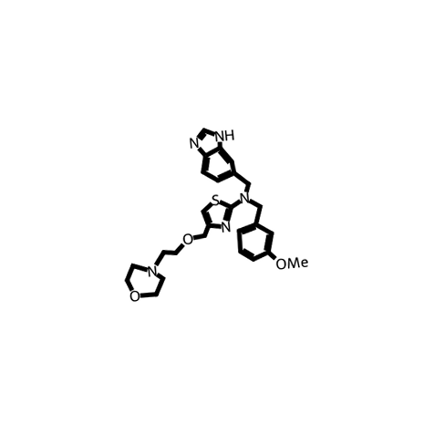 COc1cccc(CN(Cc2ccc3nc[nH]c3c2)c2nc(COCCN3CCOCC3)cs2)c1